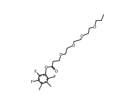 CCCOCCOCCOCCOCCC(=O)Oc1c(F)c(C)c(F)c(F)c1F